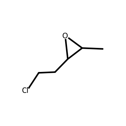 CC1OC1CCCl